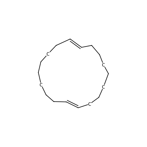 C1=C/CCCCCCC/C=C/CCCCCCC/1